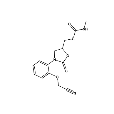 CNC(=O)OCC1CN(c2ccccc2OCC#N)C(=O)O1